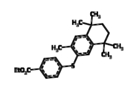 CCOC(=O)c1ccc(Sc2cc3c(cc2C)C(C)(C)CCC3(C)C)cc1